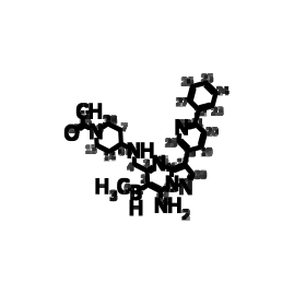 CBc1c(CNC2CCN(C(C)=O)CC2)nc2c(-c3ccc(-c4ccccc4)nc3)cnn2c1N